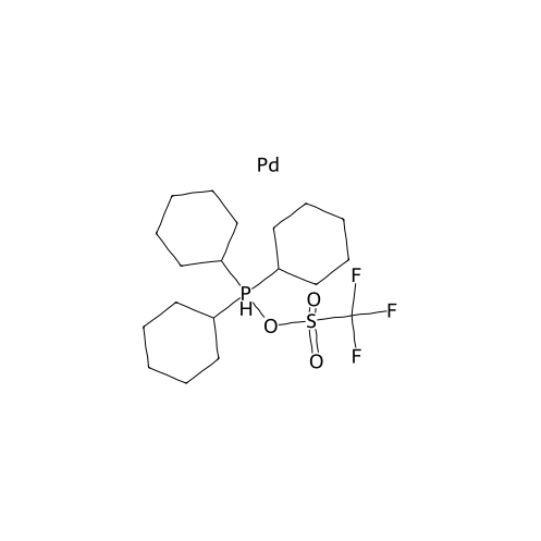 O=S(=O)(O[PH](C1CCCCC1)(C1CCCCC1)C1CCCCC1)C(F)(F)F.[Pd]